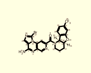 Nc1nc2cnc(C(=O)N3CCC[C@@H]4Oc5cc(C(F)(F)F)ccc5[C@@H]43)cc2n2c(Br)ncc12